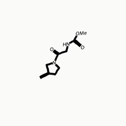 C=C1CCN(C(=O)CNC(=O)OC)C1